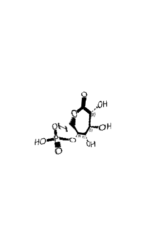 O=C1OC[C@@H](OP(=O)(O)O)[C@@H](O)[C@H](O)[C@H]1O